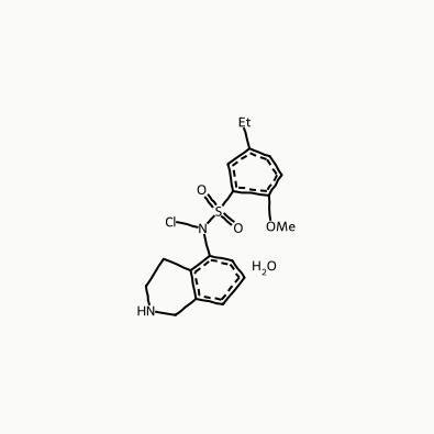 CCc1ccc(OC)c(S(=O)(=O)N(Cl)c2cccc3c2CCNC3)c1.O